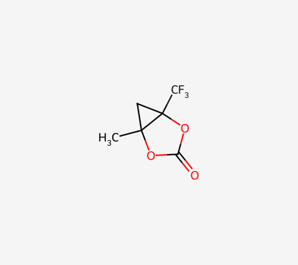 CC12CC1(C(F)(F)F)OC(=O)O2